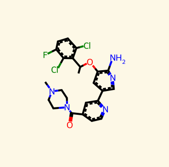 CC(Oc1cc(-c2cc(C(=O)N3CCN(C)CC3)ccn2)cnc1N)c1c(Cl)ccc(F)c1Cl